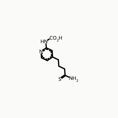 NC(=S)CCCc1ccnc(NC(=O)O)c1